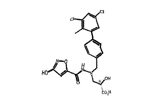 Cc1c(Cl)cc(Cl)cc1-c1ccc(CN(C[C@H](O)C(=O)O)NC(=O)c2cc(O)no2)cc1